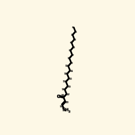 CCCCCCCCCCCCCCCCCCC(=O)C=CN